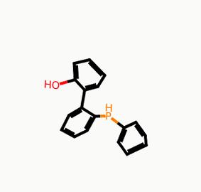 Oc1ccccc1-c1ccccc1Pc1ccccc1